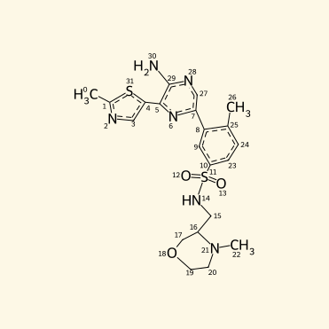 Cc1ncc(-c2nc(-c3cc(S(=O)(=O)NCC4COCCN4C)ccc3C)cnc2N)s1